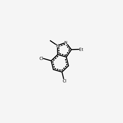 CCc1nn(C)c2c(Cl)cc(Cl)cc12